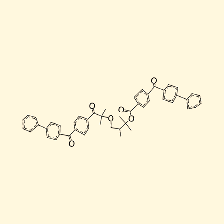 CC(COC(C)(C)C(=O)c1ccc(C(=O)c2ccc(-c3ccccc3)cc2)cc1)C(C)(C)OC(=O)c1ccc(C(=O)c2ccc(-c3ccccc3)cc2)cc1